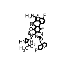 CC(C)[C@H]1NC[C@H]1CN1CCOc2c(Cl)c(-c3ccc(F)c4sc(N)c(C#N)c34)c(F)c3nc(OC[C@@]45CCCN4C[C@H](F)C5)nc1c23